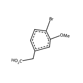 COc1cc(CC(=O)O)ccc1Br